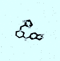 c1c[nH]c(CN2CCCC(Nc3ccc4[nH]ncc4c3)C2)n1